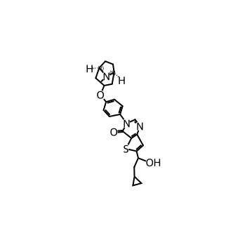 CN1[C@@H]2CC[C@H]1CC(Oc1ccc(-n3cnc4cc(C(O)CC5CC5)sc4c3=O)cc1)C2